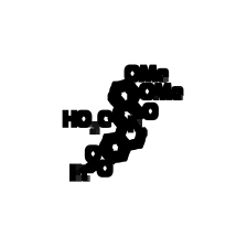 CCC1Oc2cc3c(cc2O1)-c1c(C(=O)O)c2ccc(OC)c(OC)c2c(=O)n1CC3